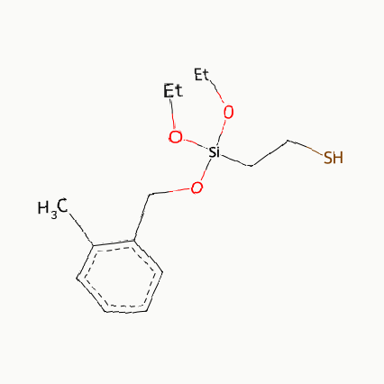 CCO[Si](CCS)(OCC)OCc1ccccc1C